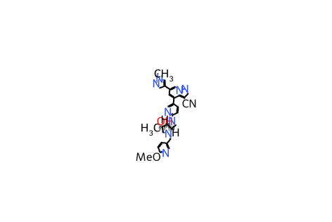 COc1ccc(CN2C[C@@](C)(O)[C@H]3[C@@H]2CN3c2ccc(-c3cc(-c4cnn(C)c4)cn4ncc(C#N)c34)cn2)cn1